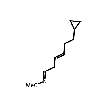 CON=CCC=CCCC1[CH]C1